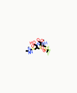 CO[C@@]1(NC(=O)C[S+]([O-])C(F)(F)CF)C(=O)N2C(C(=O)O)=C(CSc3nnc(C)n3C)CS[C@H]21